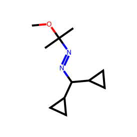 COC(C)(C)/N=N/C(C1CC1)C1CC1